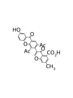 CC(=O)c1cc2c(=O)c3cc(O)ccc3oc2c(C(C)=O)c1-c1coc2cc(C)cc(C(=O)O)c2c1=O